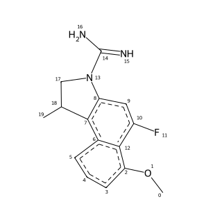 COc1cccc2c3c(cc(F)c12)N(C(=N)N)CC3C